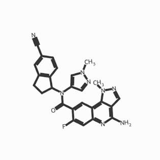 Cn1cc(N(C(=O)c2cc3c(cc2F)nc(N)c2cnn(C)c23)C2CCc3cc(C#N)ccc32)cn1